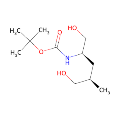 C[C@@H](CO)C[C@H](CO)NC(=O)OC(C)(C)C